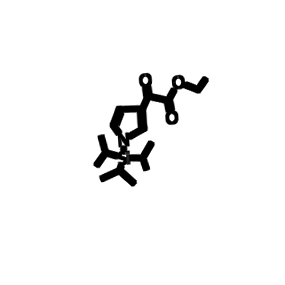 CCOC(=O)C(=O)c1ccn([Si](C(C)C)(C(C)C)C(C)C)c1